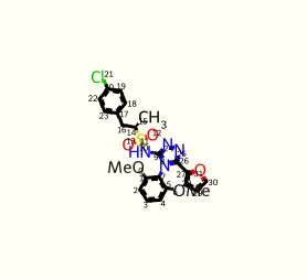 COc1cccc(OC)c1-n1c(NS(=O)(=O)[C@H](C)Cc2ccc(Cl)cc2)nnc1-c1ccco1